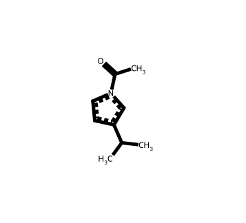 CC(=O)n1ccc(C(C)C)c1